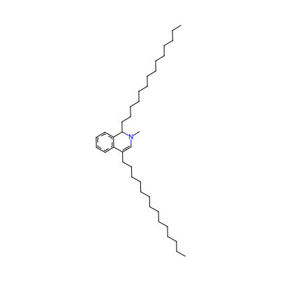 CCCCCCCCCCCCCCC1=CN(C)C(CCCCCCCCCCCCCC)c2ccccc21